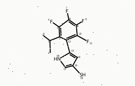 CC(C)c1c(F)c(F)c(F)c(F)c1-c1cc(S)c[nH]1